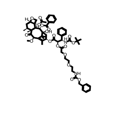 CO[C@H]1C(=O)[C@@]2(C)[C@H]([C@H](OC(=O)c3ccccc3)[C@]3(O)C[C@H](OC(=O)[C@H](OC(=O)COCCOCCNC(=O)OCc4ccccc4)[C@@H](NC(=O)OC(C)(C)C)c4ccccc4)C(C)=C1C3(C)C)[C@]1(OC(C)=O)CO[C@@H]1C[C@@H]2C